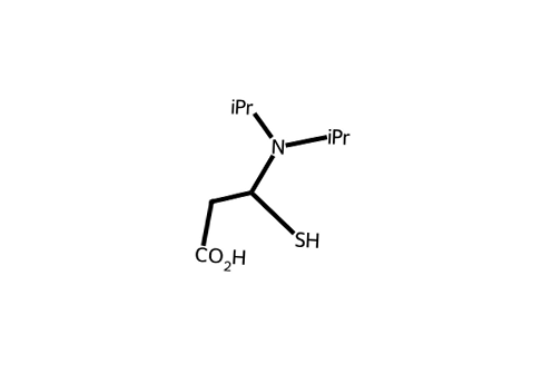 CC(C)N(C(C)C)C(S)CC(=O)O